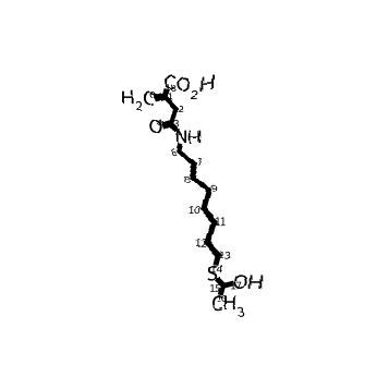 C=C(CC(=O)NCCCCCCCCSC(C)O)C(=O)O